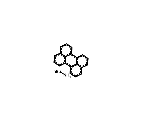 CCCCN.c1cc2cccc3c4cccc5cccc(c(c1)c23)c54